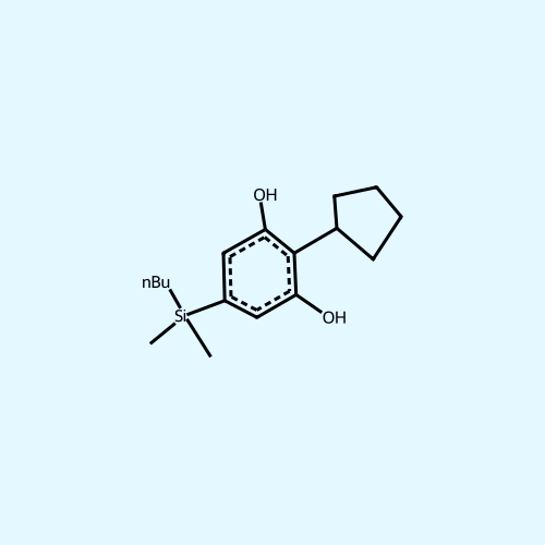 CCCC[Si](C)(C)c1cc(O)c(C2CCCC2)c(O)c1